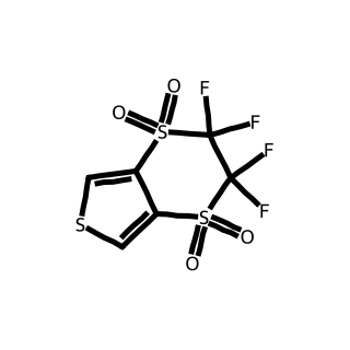 O=S1(=O)c2cscc2S(=O)(=O)C(F)(F)C1(F)F